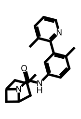 Cc1ccc(NC(=O)N2C3CC(C)CC2C3)cc1-c1ncccc1C